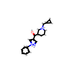 O=C(c1cnn(-c2ccccc2)c1)C1CCCN(CC2CC2)C1